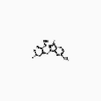 Cn1nc(CN(CC(F)F)C(=O)OC(C)(C)C)c2cc([N+](=O)[O-])ccc21